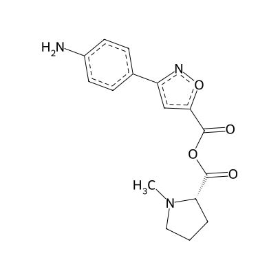 CN1CCC[C@H]1C(=O)OC(=O)c1cc(-c2ccc(N)cc2)no1